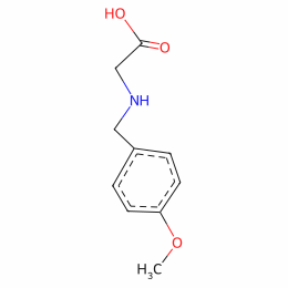 COc1ccc(CNCC(=O)O)cc1